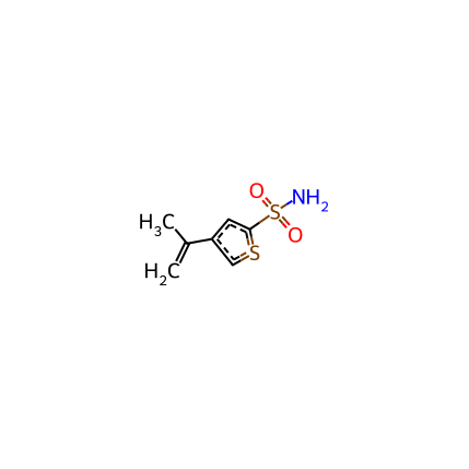 C=C(C)c1csc(S(N)(=O)=O)c1